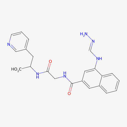 NN=CNc1cc(C(=O)NCC(=O)NC(Cc2cccnc2)C(=O)O)cc2ccccc12